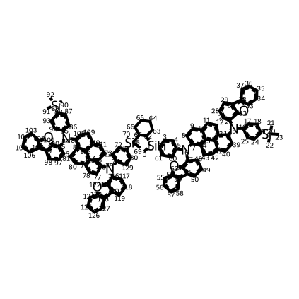 C[SiH](c1ccc(N(c2ccc3ccc4c(N(c5ccc([Si](C)(C)C)cc5)c5cccc6c5oc5ccccc56)ccc5ccc2c3c54)c2cccc3c2oc2ccccc23)cc1)C1CCCCC1[Si](C)(C)c1ccc(N(c2ccc3ccc4c(N(c5ccc([Si](C)(C)C)cc5)c5cccc6c5oc5ccccc56)ccc5ccc2c3c54)c2cccc3c2oc2ccccc23)cc1